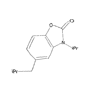 CC(C)Cc1ccc2oc(=O)n(C(C)C)c2c1